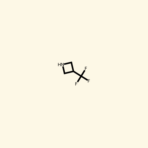 FC(F)(F)[C]1CNC1